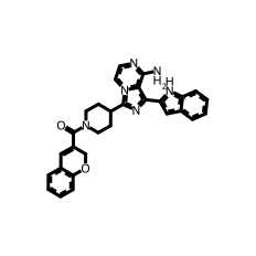 Nc1nccn2c(C3CCN(C(=O)C4=Cc5ccccc5OC4)CC3)nc(-c3cc4ccccc4[nH]3)c12